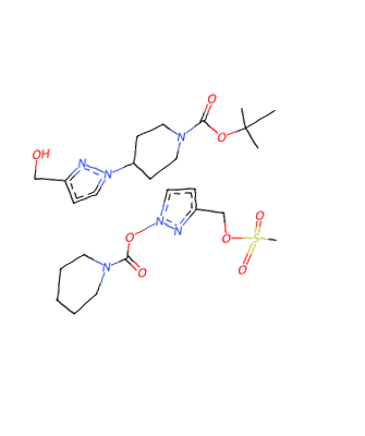 CC(C)(C)OC(=O)N1CCC(n2ccc(CO)n2)CC1.CS(=O)(=O)OCc1ccn(OC(=O)N2CCCCC2)n1